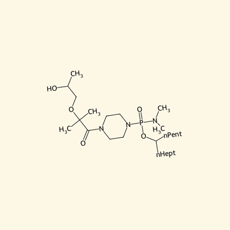 CCCCCCCC(CCCCC)OP(=O)(N(C)C)N1CCN(C(=O)C(C)(C)OCC(C)O)CC1